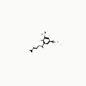 CC(C)(C)c1cc(C(=O)CCCC(=O)O)c(O)c([N+](=O)[O-])c1